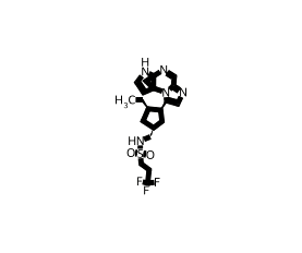 CC[C@@H]1C[C@@H](CNS(=O)(=O)CCC(F)(F)F)C[C@@H]1c1cnc2n1C13C=CNC1(C3)N=C2